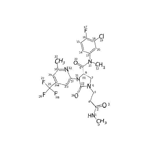 CNC(=O)CCN1C[C@@H](C(=O)N(C)c2ccc(F)c(Cl)c2)N(c2cc(C(F)(F)F)cc(C)n2)C1=O